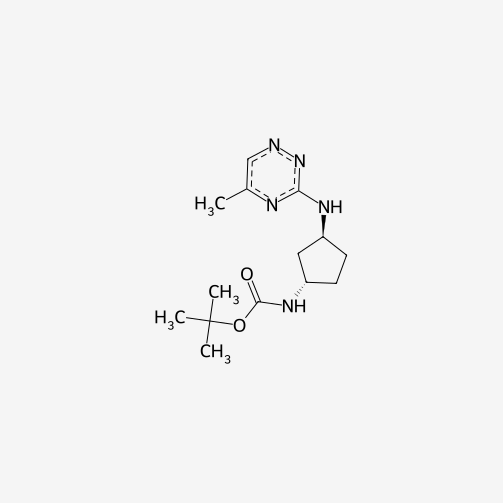 Cc1cnnc(N[C@H]2CC[C@H](NC(=O)OC(C)(C)C)C2)n1